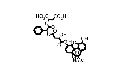 CC[C@]12c3c4ccc(O)c3O[C@H]1C(OC(=O)[C@@H](O)CC(=O)O[C@H](C(=O)O[C@@H](CC(=O)O)C(=O)O)c1ccccc1)=CC[C@@]2(O)[C@H](NC)C4